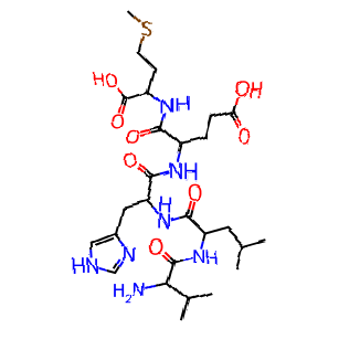 CSCCC(NC(=O)C(CCC(=O)O)NC(=O)C(Cc1c[nH]cn1)NC(=O)C(CC(C)C)NC(=O)C(N)C(C)C)C(=O)O